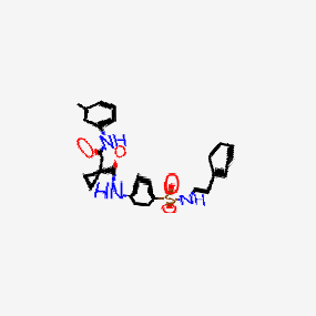 Cc1cccc(NC(=O)C2(C(=O)Nc3ccc(S(=O)(=O)NCCc4ccccc4)cc3)CC2)c1